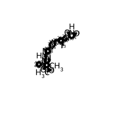 CC(=O)c1c(C)c2cnc(Nc3ccc(N4CCN(Cc5cc(F)c6c(c5)CN(C5CCC(=O)NC5=O)C6)CC4)cn3)nc2n(C2CCCC2)c1=O